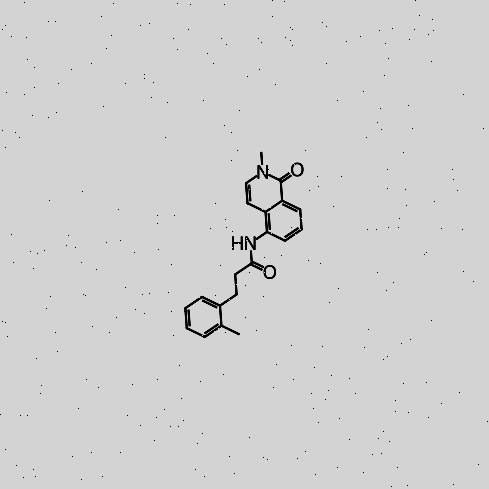 Cc1ccccc1CCC(=O)Nc1cccc2c(=O)n(C)ccc12